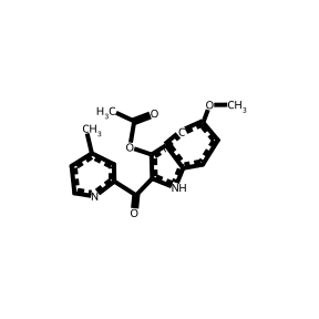 COc1ccc2[nH]c(C(=O)c3cc(C)ccn3)c(OC(C)=O)c2c1